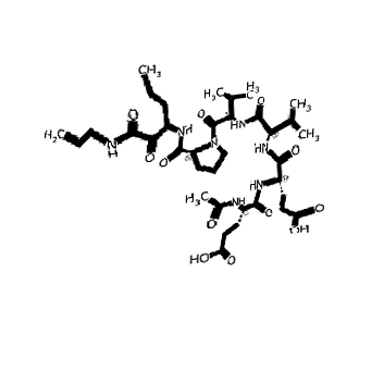 C=CCNC(=O)C(=O)C(CCC)NC(=O)[C@@H]1CCCN1C(=O)[C@@H](NC(=O)[C@@H](NC(=O)[C@H](CCC(=O)O)NC(=O)[C@H](CCC(=O)O)NC(C)=O)C(C)C)C(C)C